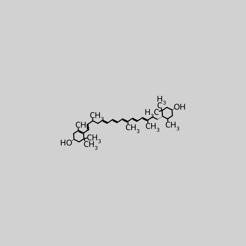 CC1=C(/C=C/C(C)C/C=C/C=C/C=C(C)/C=C/C=C(\C)CC[C@H]2C(C)C[C@@H](O)CC2(C)C)C(C)(C)C[C@H](O)C1